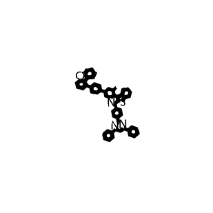 CC1CC(c2ccc(-c3cccc4oc5ccccc5c34)cc2)=Cc2nc(-c3ccc(-c4nc(-c5ccccc5)cc(-c5ccccc5)n4)cc3)c3sc4ccccc4c3c21